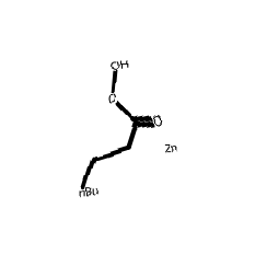 CCCCCCC(=O)OO.[Zn]